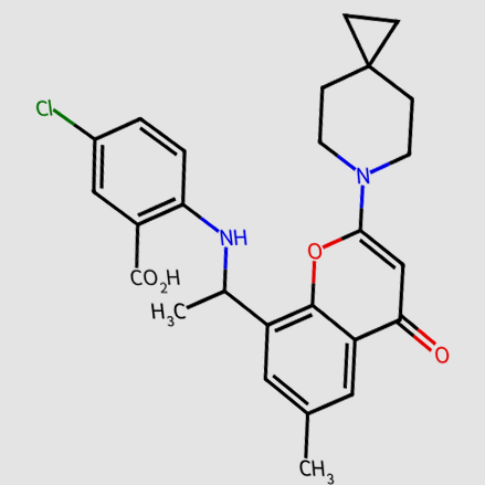 Cc1cc(C(C)Nc2ccc(Cl)cc2C(=O)O)c2oc(N3CCC4(CC3)CC4)cc(=O)c2c1